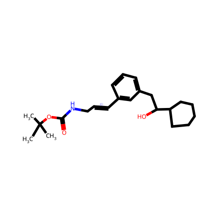 CC(C)(C)OC(=O)NC/C=C/c1cccc(CC(O)C2CCCCC2)c1